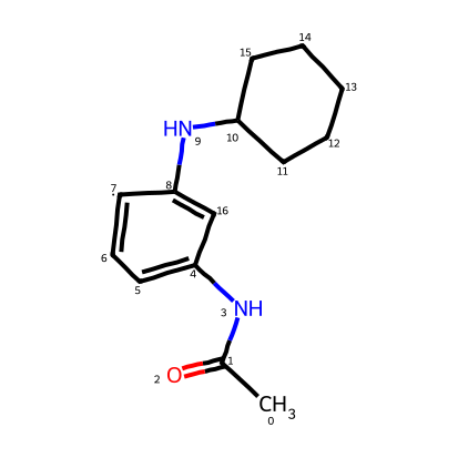 CC(=O)Nc1cc[c]c(NC2CCCCC2)c1